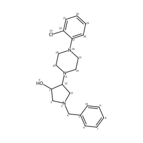 OC1CN(Cc2ccccc2)CC1N1CCN(c2ccccc2Cl)CC1